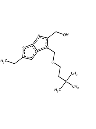 CCc1cc2c(nc(CO)n2COCC[Si](C)(C)C)s1